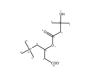 CC(C)(O)CC(=O)OC(CC(=O)[O-])C[N+](C)(C)C